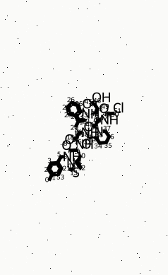 Cc1ccc(CNC(=O)[C@H](Cc2cscn2)NC(=O)[C@H](Cc2c[nH]c3ccccc23)NC(=O)[C@@H]2CCCCN2C(=O)[C@H](CCC(=O)O)NC(=O)CCl)cc1